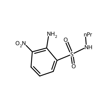 CCCNS(=O)(=O)c1cccc([N+](=O)[O-])c1N